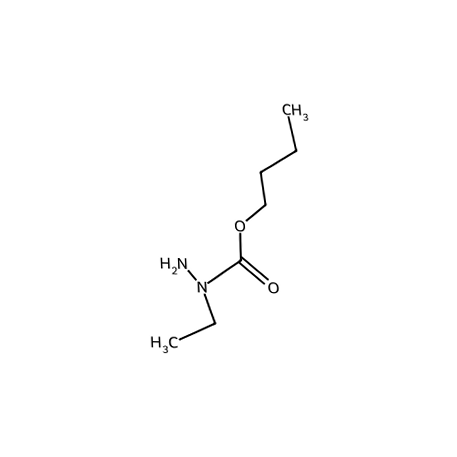 CCCCOC(=O)N(N)CC